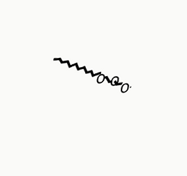 CCCCCCCCCCCCOCCOCC[O]